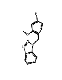 COc1cc(F)ccc1Cn1nnc2ccccc21